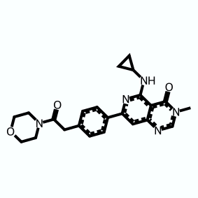 Cn1cnc2cc(-c3ccc(CC(=O)N4CCOCC4)cc3)nc(NC3CC3)c2c1=O